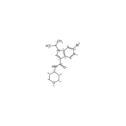 CC(C)n1cc(C(=O)NC2CCOCC2)c2cnc(Br)cc21